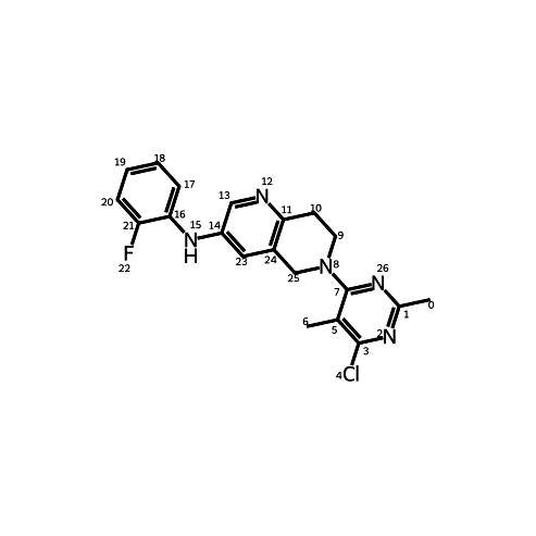 Cc1nc(Cl)c(C)c(N2CCc3ncc(Nc4ccccc4F)cc3C2)n1